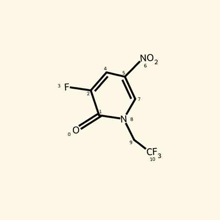 O=c1c(F)cc([N+](=O)[O-])cn1CC(F)(F)F